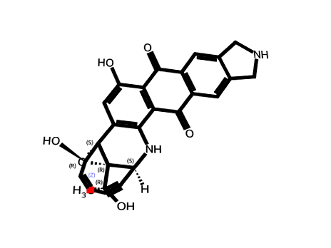 C[C@@H](O)[C@@]12O[C@]13c1cc(O)c4c(c1N[C@H]2C#C/C=C\[C@H]3O)C(=O)c1cc2c(cc1C4=O)CNC2